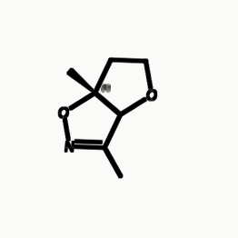 CC1=NO[C@]2(C)CCOC12